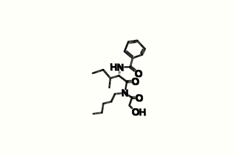 CCCCCN(C(=O)CO)C(=O)[C@@H](NC(=O)c1ccccc1)C(C)CC